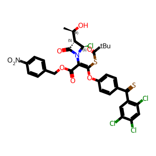 C[C@@H](O)[C@H]1C(=O)N(C(C(=O)OCc2ccc([N+](=O)[O-])cc2)=C(Oc2ccc(C(=S)c3cc(Cl)c(Cl)cc3Cl)cc2)SC(=O)C(C)(C)C)[C@H]1Cl